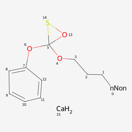 CCCCCCCCCCCCOC1(Oc2ccccc2)OS1.[CaH2]